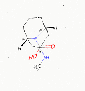 CN[C@H]1C[C@H]2CCC[C@@H](C1)N2C(=O)O